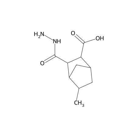 CC1CC2CC1C(C(=O)NN)C2C(=O)O